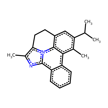 Cc1nc2c3ccccc3c3c(C)c(C(C)C)cc4c3n2c1CC4